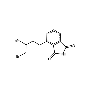 CCCC(CBr)CCc1cccc2c1C(=O)NC2=O